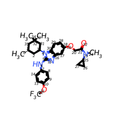 C[C@H]1C[C@H](n2c(Nc3ccc(OC(F)(F)F)cc3)nc3cc(OCC(=O)N(C)C4CC4)ccc32)CC(C)(C)C1